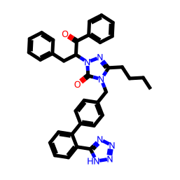 CCCCc1nn(C(Cc2ccccc2)C(=O)c2ccccc2)c(=O)n1Cc1ccc(-c2ccccc2-c2nnn[nH]2)cc1